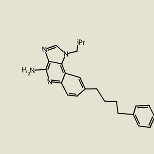 CC(C)Cn1cnc2c(N)nc3ccc(CCCCc4ccccc4)cc3c21